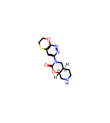 O=C1O[C@H]2CNCC[C@@H]2CN1c1cc2c(nn1)OCCS2